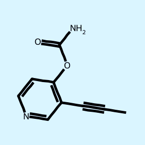 CC#Cc1cnccc1OC(N)=O